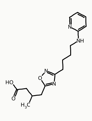 CC(CC(=O)O)Cc1nc(CCCCNc2ccccn2)no1